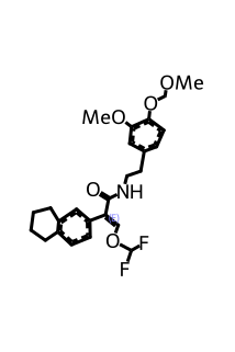 COCOc1ccc(CCNC(=O)/C(=C/OC(F)F)c2ccc3c(c2)CCCC3)cc1OC